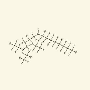 FN(C(F)(F)C(F)(F)C(F)(F)C(F)(F)C(F)(F)C(F)(F)C(F)(F)C(F)(F)F)C(F)(F)C(F)(F)C(F)(F)[Si](OC(F)(F)C(F)(F)F)(OC(F)(F)C(F)(F)F)OC(F)(F)C(F)(F)F